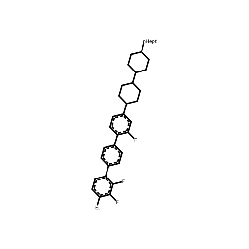 CCCCCCCC1CCC(C2CCC(c3ccc(-c4ccc(-c5ccc(CC)c(F)c5F)cc4)c(F)c3)CC2)CC1